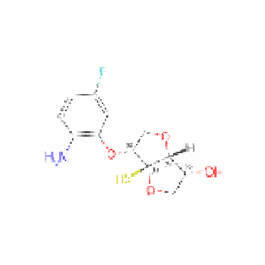 Nc1ccc(F)cc1O[C@@H]1CO[C@@H]2[C@H](O)CO[C@@]21S